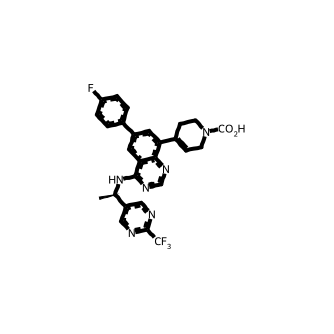 C[C@@H](Nc1ncnc2c(C3=CCN(C(=O)O)CC3)cc(-c3ccc(F)cc3)cc12)c1cnc(C(F)(F)F)nc1